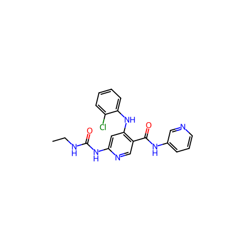 CCNC(=O)Nc1cc(Nc2ccccc2Cl)c(C(=O)Nc2cccnc2)cn1